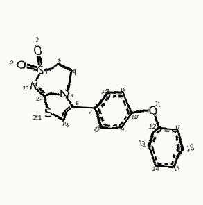 O=S1(=O)CCN2C(c3ccc(Oc4ccccc4)cc3)=CSC2=N1